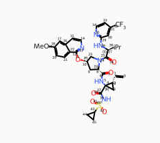 C=C[C@@H]1C[C@]1(NC(=O)[C@@H]1C[C@@H](Oc2nccc3cc(OC)ccc23)CN1C(=O)[C@@H](Nc1cc(C(F)(F)F)ccn1)C(C)C)C(=O)NS(=O)(=O)C1CC1